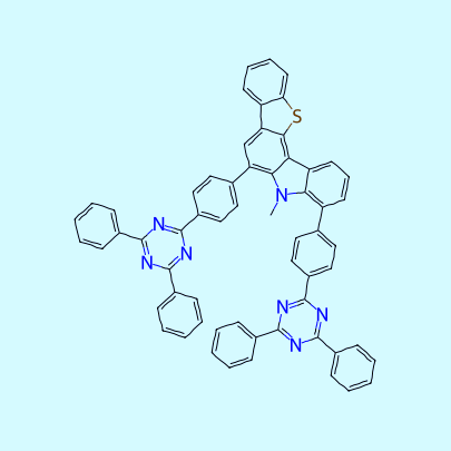 Cn1c2c(-c3ccc(-c4nc(-c5ccccc5)nc(-c5ccccc5)n4)cc3)cccc2c2c3sc4ccccc4c3cc(-c3ccc(-c4nc(-c5ccccc5)nc(-c5ccccc5)n4)cc3)c21